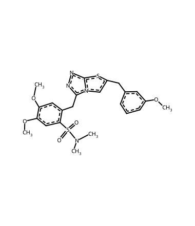 COc1cccc(Cc2cn3c(Cc4cc(OC)c(OC)cc4S(=O)(=O)N(C)C)nnc3s2)c1